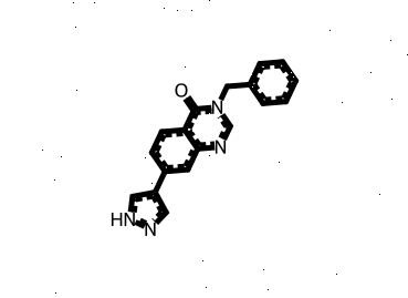 O=c1c2ccc(-c3cn[nH]c3)cc2ncn1Cc1ccccc1